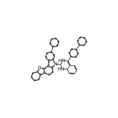 C1=CC2=C(c3ccc(-c4ccccc4)cc3)N[C@H](n3c4cc(-c5ccccc5)ccc4c4c5oc6ccccc6c5ccc43)NC2C=C1